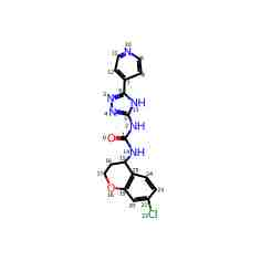 O=C(Nc1nnc(-c2ccncc2)[nH]1)NC1CCOc2cc(Cl)ccc21